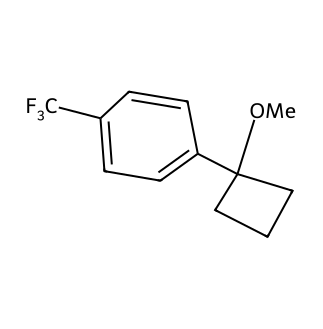 COC1(c2ccc(C(F)(F)F)cc2)CCC1